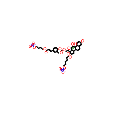 Cc1cc(/C=C/C(=O)OCCCCO[N+](=O)[O-])ccc1OC(=O)OCC(=O)[C@@]1(OC(=O)CCCCCO[N+](=O)[O-])[C@@H](C)CC2C3CCC4=CC(=O)C=C[C@]4(C)[C@@]3(F)[C@@H](O)C[C@@]21C